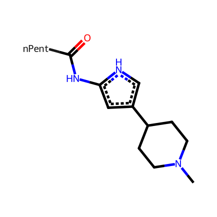 CCCCCC(=O)Nc1cc(C2CCN(C)CC2)c[nH]1